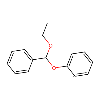 CCOC(Oc1[c]cccc1)c1ccccc1